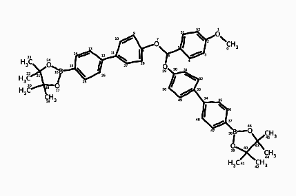 COc1ccc(C(Oc2ccc(-c3ccc(B4OC(C)(C)C(C)(C)O4)cc3)cc2)Oc2ccc(-c3ccc(B4OC(C)(C)C(C)(C)O4)cc3)cc2)cc1